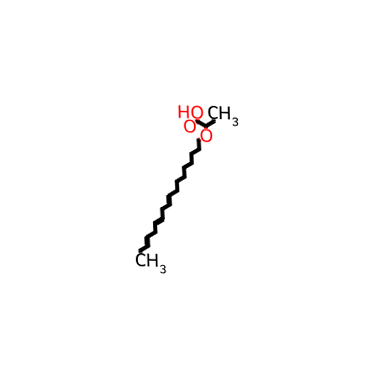 CCC=CCC=CCC=CCCCCCCCCOC(CC)C(=O)O